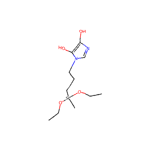 CCO[Si](C)(CCCn1cnc(O)c1O)OCC